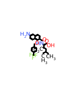 C=C(CC(CC)CC)[C@H](NC(=O)c1ccc2cc(N)ccc2c1OCc1ccc(C(F)(F)F)cc1)C(=O)O